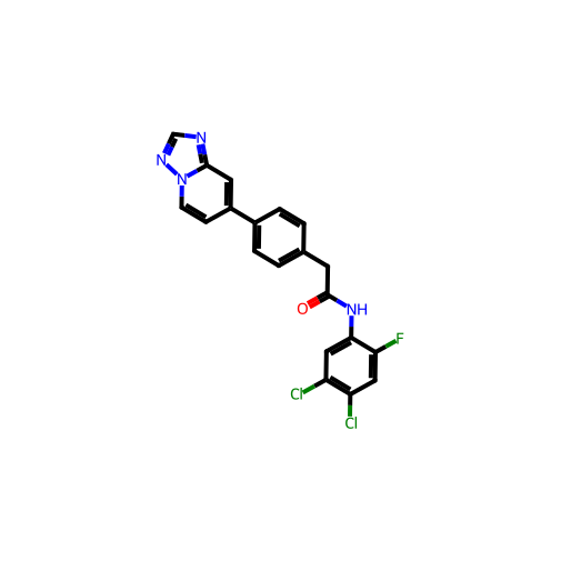 O=C(Cc1ccc(-c2ccn3ncnc3c2)cc1)Nc1cc(Cl)c(Cl)cc1F